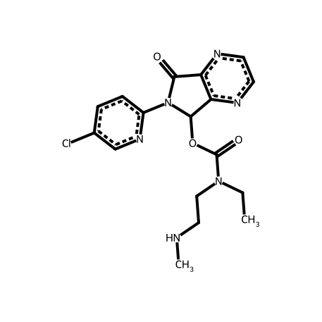 CCN(CCNC)C(=O)OC1c2nccnc2C(=O)N1c1ccc(Cl)cn1